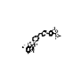 COc1cccc(C(O)(C(=O)N2CCCC(CC3CCN(c4ccc(C(=O)N(C)C)c(Cl)c4)CC3)CC2)C(F)(F)F)c1